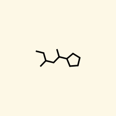 CCC(C)C[C](C)C1CCCC1